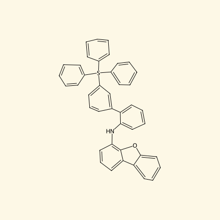 c1ccc(S(c2ccccc2)(c2ccccc2)c2cccc(-c3ccccc3Nc3cccc4c3oc3ccccc34)c2)cc1